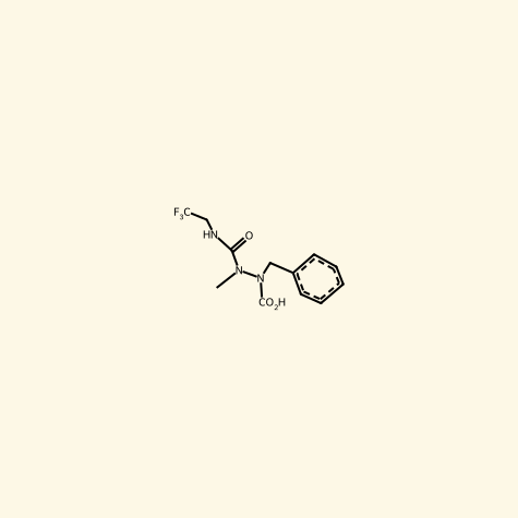 CN(C(=O)NCC(F)(F)F)N(Cc1ccccc1)C(=O)O